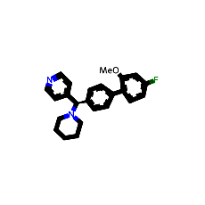 COc1cc(F)ccc1-c1ccc([C@H](c2ccncc2)N2CCCCC2)cc1